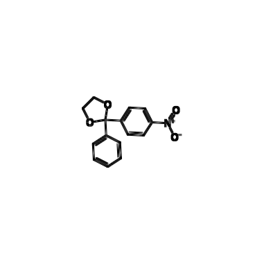 O=[N+]([O-])c1ccc(C2(c3ccccc3)OCCO2)cc1